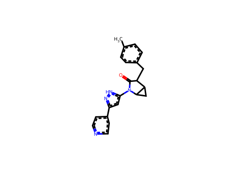 Cc1ccc(CC2C(=O)N(c3cc(-c4ccncc4)n[nH]3)C3CC23)cc1